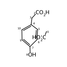 CC(=O)O.O=C(O)Cc1ccc(O)cc1